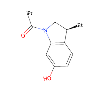 CC[C@@H]1CN(C(=O)C(C)C)c2cc(O)ccc21